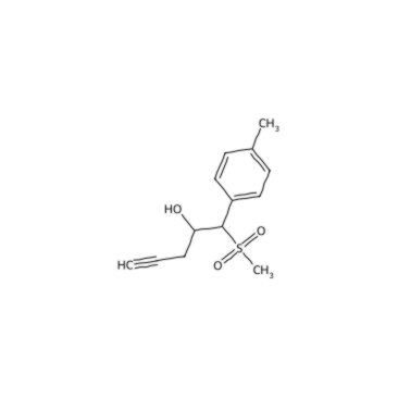 C#CCC(O)C(c1ccc(C)cc1)S(C)(=O)=O